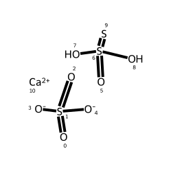 O=S(=O)([O-])[O-].O=S(O)(O)=S.[Ca+2]